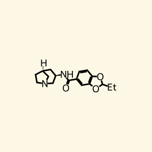 CCC1Oc2ccc(C(=O)N[C@@H]3C[C@@H]4CCN(C4)C3)cc2O1